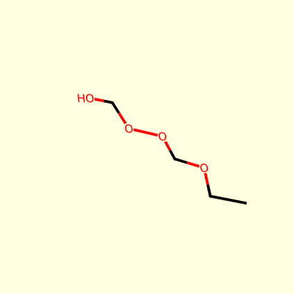 CCOCOOCO